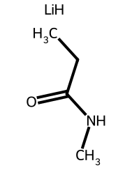 CCC(=O)NC.[LiH]